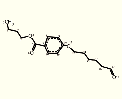 CCCCOC(=O)c1ccc(OCCCCCC=O)cc1